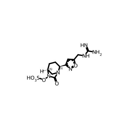 N=C(N)NCc1cc([C@@H]2CC[C@H]3CN2C(=O)N3OS(=O)(=O)O)no1